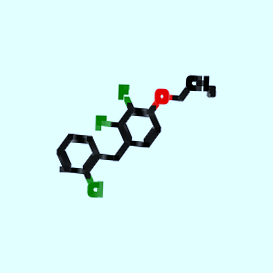 CCOc1ccc(Cc2ccc[c]c2Cl)c(F)c1F